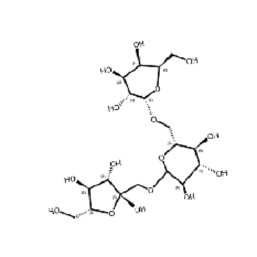 OC[C@H]1O[C@H](OC[C@H]2OC(OC[C@]3(O)O[C@H](CO)[C@@H](O)[C@@H]3O)[C@H](O)[C@@H](O)[C@@H]2O)[C@H](O)[C@@H](O)[C@H]1O